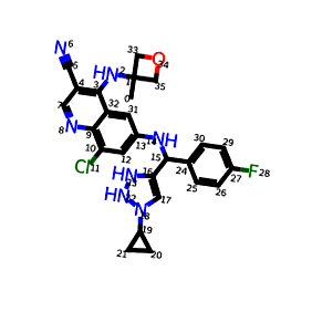 CC1(Nc2c(C#N)cnc3c(Cl)cc(NC(C4=CN(C5CC5)NN4)c4ccc(F)cc4)cc23)COC1